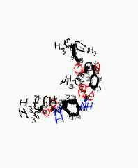 CO[C@H]1[C@H](C(C)(C)OCC=C(C)C)[C@]2(CC[C@H]1OC(=O)Nc1ccc(NC(=O)OC(C)(C)C)cc1)CO2